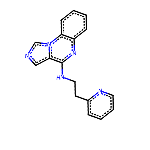 c1ccc(CCNc2nc3ccccc3n3cncc23)nc1